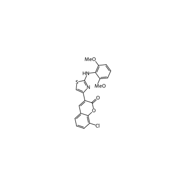 COc1cccc(OC)c1Nc1nc(-c2cc3cccc(Cl)c3oc2=O)cs1